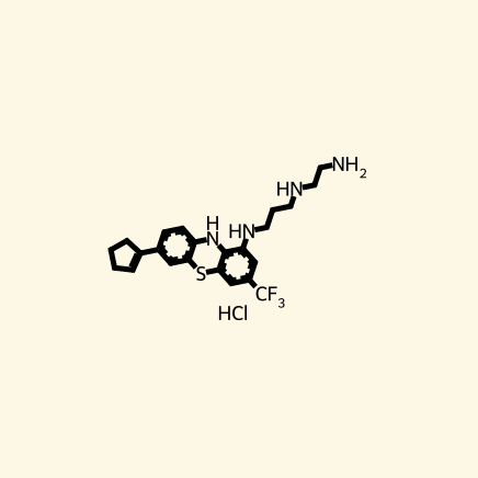 Cl.NCCNCCCNc1cc(C(F)(F)F)cc2c1Nc1ccc(C3=CCCC3)cc1S2